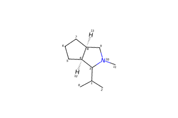 CC(C)C1[C@H]2CCC[C@H]2CN1C